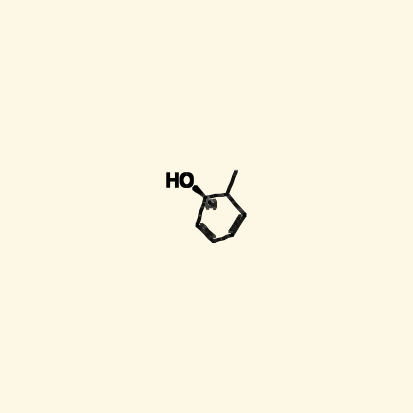 CC1C=CC=C[C@H]1O